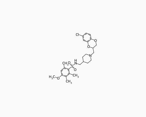 COc1cc(C)c(S(=O)(=O)NCC2CCN(CC3COc4ccc(Cl)cc4O3)CC2)c(C)c1C